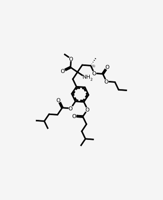 CCCOC(=O)O[C@@H](C)CC(N)(Cc1ccc(OC(=O)CCC(C)C)c(OC(=O)CCC(C)C)c1)C(=O)OC